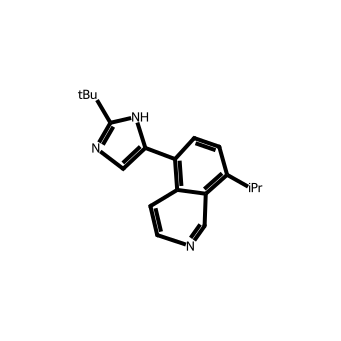 CC(C)c1ccc(-c2cnc(C(C)(C)C)[nH]2)c2ccncc12